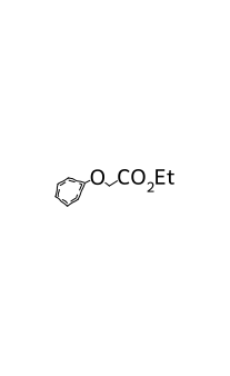 [CH2]COC(=O)COc1ccccc1